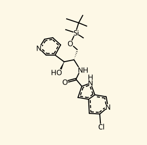 CC(C)(C)[Si](C)(C)OC[C@H](NC(=O)c1cc2cc(Cl)ncc2[nH]1)[C@@H](O)c1cccnc1